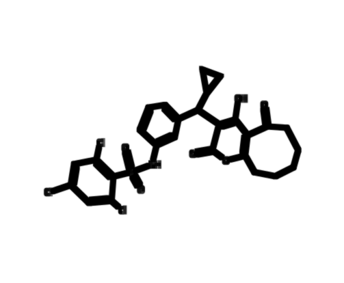 O=C1CCCCCc2oc(=O)c(C(c3cccc(NS(=O)(=O)c4c(Cl)cc(Cl)cc4Cl)c3)C3CC3)c(O)c21